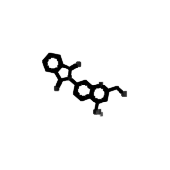 Cc1cc(CCl)nc2cc(N3C(=O)c4ccccc4C3=O)ccc12